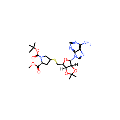 COC(=O)[C@@H]1C[C@H](SC[C@H]2O[C@@H](n3cnc4c(N)ncnc43)[C@@H]3OC(C)(C)O[C@@H]32)CN1C(=O)OC(C)(C)C